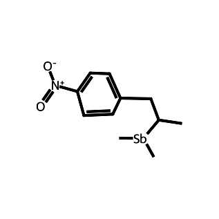 C[CH](Cc1ccc([N+](=O)[O-])cc1)[Sb]([CH3])[CH3]